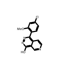 COc1cc(Cl)ccc1-c1nnc(O)c2cnccc12